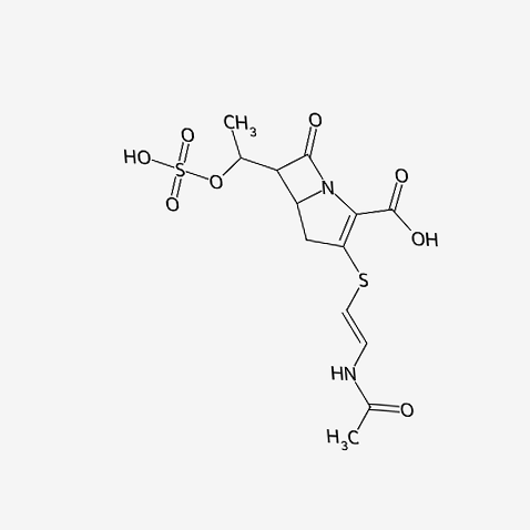 CC(=O)NC=CSC1=C(C(=O)O)N2C(=O)C(C(C)OS(=O)(=O)O)C2C1